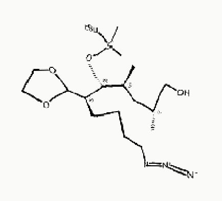 C[C@@H](CO)C[C@H](C)[C@@H](O[Si](C)(C)C(C)(C)C)[C@@H](CCCCN=[N+]=[N-])C1OCCO1